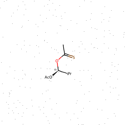 CC(=O)O[C@@H](OC(C)=S)C(C)C